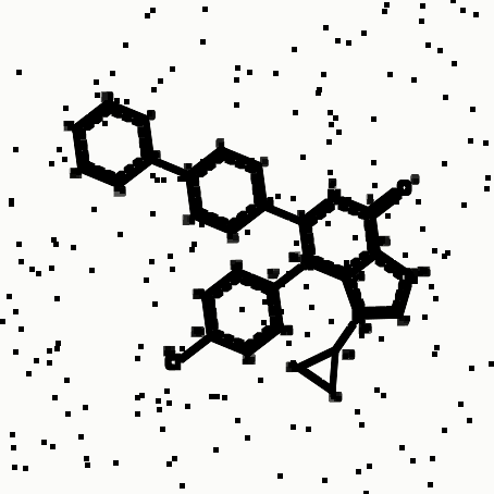 O=c1nc(-c2ccc(-c3ccccc3)cc2)n(-c2ccc(Cl)cc2)c2c1ncn2C1CC1